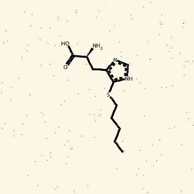 CCCCCSc1[nH]cnc1C[C@H](N)C(=O)O